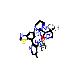 CCNC(=O)NC1(C2CNCCC2(C)C(=O)O)N=CC=CN1c1cc(-c2ncc(C)cc2C#N)c2scnc2c1